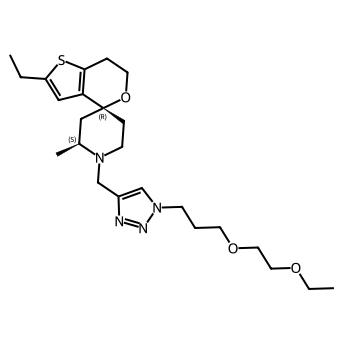 CCOCCOCCCn1cc(CN2CC[C@]3(C[C@@H]2C)OCCc2sc(CC)cc23)nn1